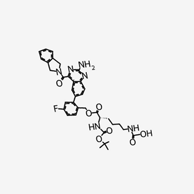 CC(C)(C)OC(=O)N[C@@H](CCCCNC(=O)O)C(=O)OCc1ccc(F)cc1-c1ccc2nc(N)nc(C(=O)N3Cc4ccccc4C3)c2c1